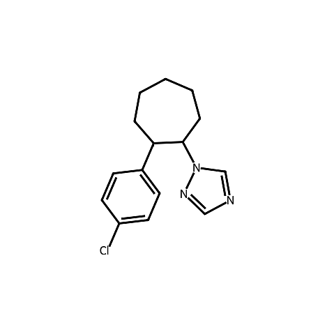 Clc1ccc([C]2CCCCCC2n2cncn2)cc1